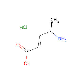 C[C@@H](N)C=CC(=O)O.Cl